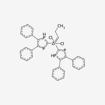 CC[CH]=[Zr]([Cl])([Cl])([c]1pc(-c2ccccc2)c(-c2ccccc2)[pH]1)[c]1pc(-c2ccccc2)c(-c2ccccc2)[pH]1